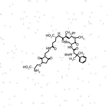 CN[C@H](C(=O)N[C@H](C(=O)N(C)[C@H](/C=C(\C)C(=O)N[C@H](CCC(=O)NCCN1C(=O)CC(SC[C@H](N)C(=O)O)C1=O)C(=O)O)C(C)C)C(C)(C)C)C(C)(C)c1ccccc1